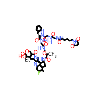 CC[C@@]1(O)C(=O)OCc2c1cc1n(c2=O)Cc2c-1nc1cc(F)c(C)c3c1c2[C@@H](NC(=O)[C@@H](OCNC(=O)CNC(=O)[C@H](Cc1ccccc1)NC(=O)CNC(=O)CNC(=O)CCCCCN1C(=O)C=CC1=O)C(F)(F)F)CC3